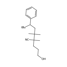 CC(C)(C)C(CC(C)(C)C(C)(C#N)CCCO)c1ccccc1